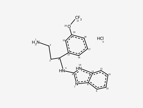 Cl.NCCC(Nc1nc2ccccc2[nH]1)c1cccc(OC(F)(F)F)c1